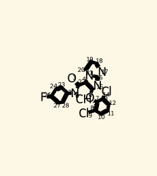 CN(C(=O)c1c(Oc2c(Cl)cccc2Cl)nc2ncccn12)c1ccc(F)cc1